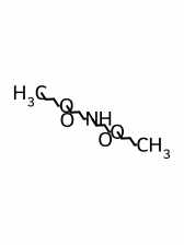 CCCCOC(=O)CCNCCC(=O)OCCCC